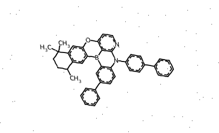 CC1CCC(C)(C)c2cc3c(cc21)B1c2cc(-c4ccccc4)ccc2N(c2ccc(-c4ccccc4)cc2)c2nccc(c21)O3